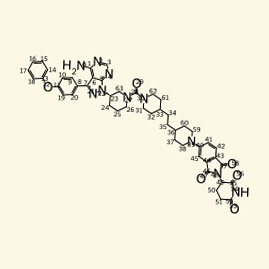 Nc1ncnc2c1c(-c1ccc(Oc3ccccc3)cc1)nn2[C@@H]1CCCN(C(=O)N2CCC(CCC3CCN(c4ccc5c(c4)C(=O)N(C4CCC(=O)NC4=O)C5=O)CC3)CC2)C1